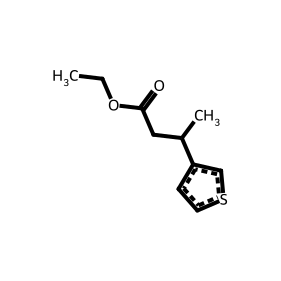 CCOC(=O)CC(C)c1ccsc1